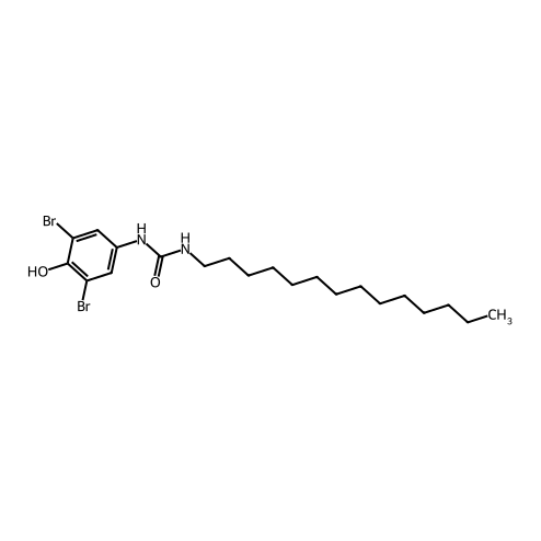 CCCCCCCCCCCCCCNC(=O)Nc1cc(Br)c(O)c(Br)c1